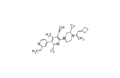 C#Cc1c(N2CCN(C(=C)C=C3CCC3)C(C3CC3)C2)nc(C2CC2)c(-c2ccnc(C=C)c2)c1C